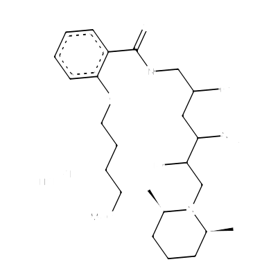 COCCCCOc1ccccc1C(=O)NCC(CC(N)C(O)CN1[C@H](C)CCC[C@@H]1C)C(C)C.Cl.Cl